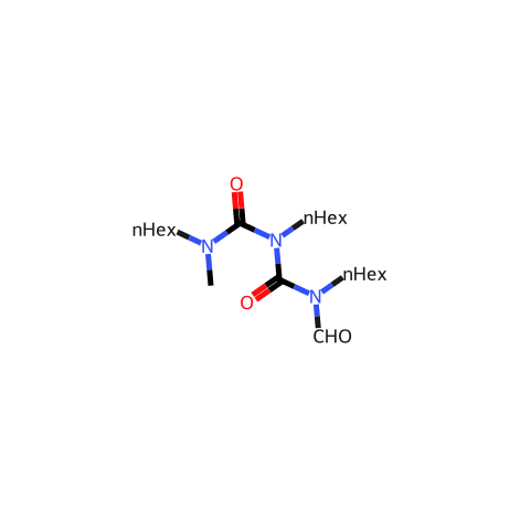 CCCCCCN(C)C(=O)N(CCCCCC)C(=O)N(C=O)CCCCCC